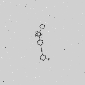 Fc1cccc(C#Cc2ccc(-c3noc(C4CCCC4)n3)cc2)c1